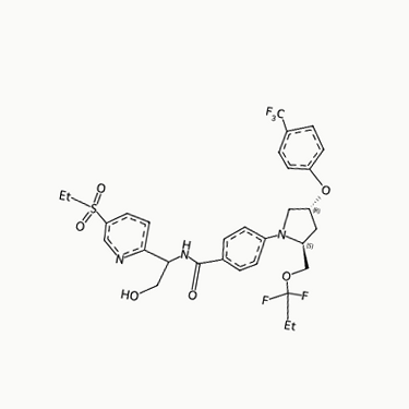 CCC(F)(F)OC[C@@H]1C[C@@H](Oc2ccc(C(F)(F)F)cc2)CN1c1ccc(C(=O)NC(CO)c2ccc(S(=O)(=O)CC)cn2)cc1